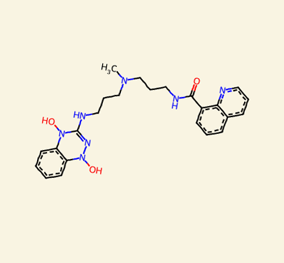 CN(CCCNC(=O)c1cccc2cccnc12)CCCNC1=NN(O)c2ccccc2N1O